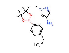 CC1(C)OB(c2ccc(CC(=O)O)cc2)OC1(C)C.Cn1cc(N)cn1